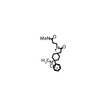 CNC(=O)CCN1C[C@]2(CC[C@](c3ccccc3)(N(C)C)CC2)CC1=O